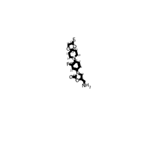 NCC1CN(c2ccc(N3CCC4(CC3)OCC(F)O4)c(F)c2)C(=O)O1